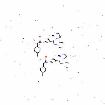 CC(C)(C)[N+2].CC1CCC([C@H](NC(=O)[O-])C(=C=O)Nc2ncc(C(CN3CCOCC3)N3CC(F)(F)CNC3=C=O)s2)CC1.CC1CCC([C@H](NC(=O)[O-])C(=C=O)Nc2ncc(C(CN3CCOCC3)N3CC(F)(F)CNC3=C=O)s2)CC1